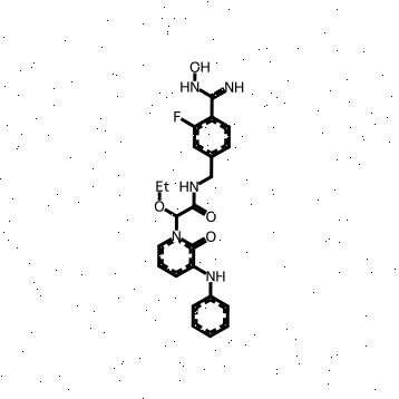 CCOC(C(=O)NCc1ccc(C(=N)NO)c(F)c1)n1cccc(Nc2ccccc2)c1=O